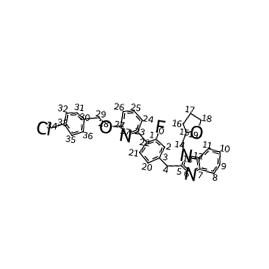 Fc1cc(Cc2nc3ccccc3n2CC2CCCO2)ccc1-c1cccc(OCc2ccc(Cl)cc2)n1